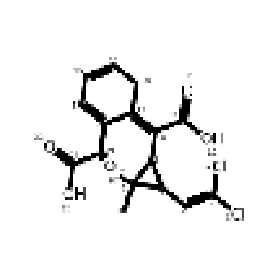 CC1(C)C(C=C(Cl)Cl)C1C(C(=O)O)=C1CC=CC=C1C(=O)C(=O)O